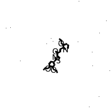 CCOc1ccc(-c2nc(C(=O)C=Cc3ncccc3OCC)cs2)cc1OCC